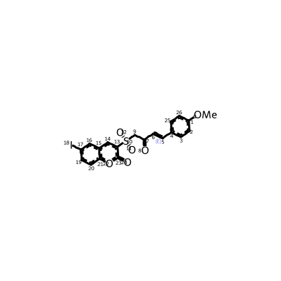 COc1ccc(/C=C/C(=O)CS(=O)(=O)c2cc3cc(I)ccc3oc2=O)cc1